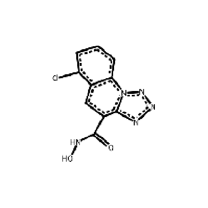 O=C(NO)c1cc2c(Cl)cccc2n2nnnc12